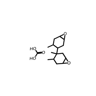 CC1CC2OC2CC1C1(C)CC2OC2CC1C.O=C(O)O